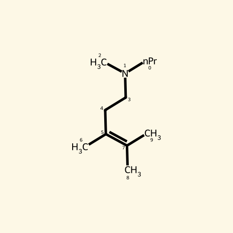 CCCN(C)CCC(C)=C(C)C